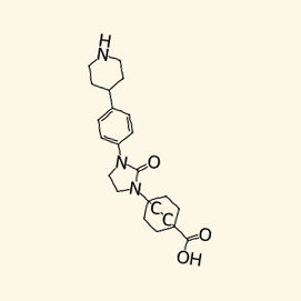 O=C1N(c2ccc(C3CCNCC3)cc2)CCN1C12CCC(C(=O)O)(CC1)CC2